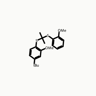 COc1ccccc1SC(C)(C)Sc1ccc(C(C)(C)C)cc1OC